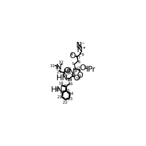 CC(C)OC(=O)[C@H](CCC(=O)C=[N+]=[N-])NC(=O)[C@H](Cc1c[nH]c2ccccc12)NC(=O)CN(C)C